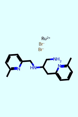 Cc1cccc(CNC(CN)Cc2cccc(C)n2)n1.[Br-].[Br-].[Ru+2]